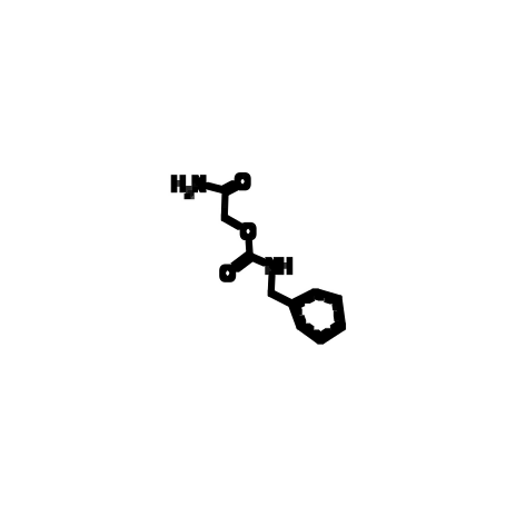 NC(=O)COC(=O)NCc1ccccc1